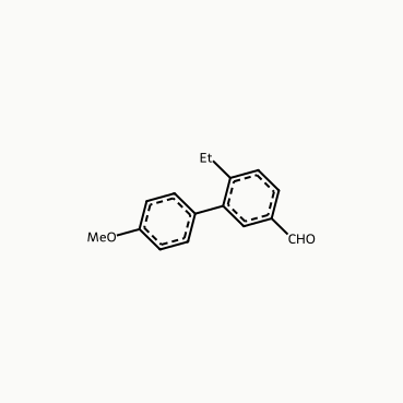 CCc1ccc(C=O)cc1-c1ccc(OC)cc1